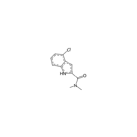 CN(C)C(=O)c1cc2c(Cl)cccc2[nH]1